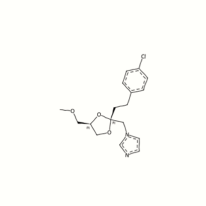 COC[C@@H]1CO[C@@](CCc2ccc(Cl)cc2)(Cn2ccnc2)O1